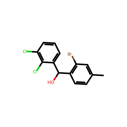 Cc1ccc(C(O)c2cccc(Cl)c2Cl)c(Br)c1